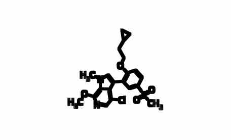 COc1ncc(Cl)c2c(-c3cc(S(C)(=O)=O)ccc3OCCC3CC3)cn(C)c12